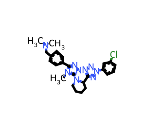 CN(C)Cc1ccc(-c2nnc(N3CCCCC3c3nnn(-c4cccc(Cl)c4)n3)n2C)cc1